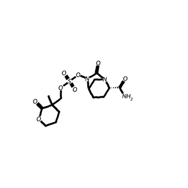 CC1(COS(=O)(=O)ON2C(=O)N3CC2CC[C@H]3C(N)=O)CCCOC1=O